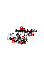 CCC(C)(C(=O)OC1CC(C(C)(OC(=O)OC(C)(C)C)C(F)(F)F)CC(C(OC(=O)OC(C)(C)C)(C(F)(F)F)C(F)(F)F)C1)C1C(=O)OC(=O)C1C1C2CC(C(=O)O)C(C2)C1CC(C)(C)C(=O)OC(C)(C)C